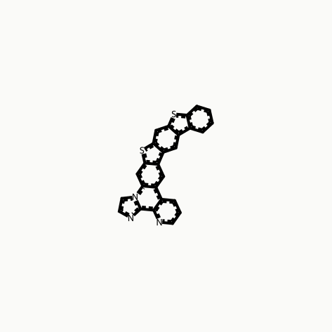 c1ccc2c(c1)sc1cc3sc4cc5c(cc4c3cc12)c1cccnc1c1nccn51